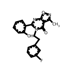 Cc1noc2nc(-c3ccccc3O)n(CCc3cccc(F)c3)c(=O)c12